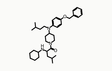 CC(C)CCN(c1ccc(OCc2ccccc2)cc1)C1CCN(C(=O)C(CC(C)C)NC2CCCCC2)CC1